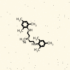 Cc1cc(C)c(NCCN(C)CCNc2c(C)cc(C)cc2C)c(C)c1.[Ni]